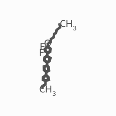 CCCCCCCCCOc1ccc(-c2ccc(-c3ccc(-c4ccc(CCC)cc4)cc3)cc2)c(F)c1F